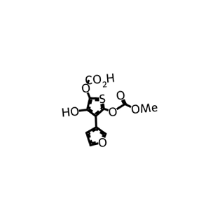 COC(=O)Oc1sc(OC(=O)O)c(O)c1-c1ccoc1